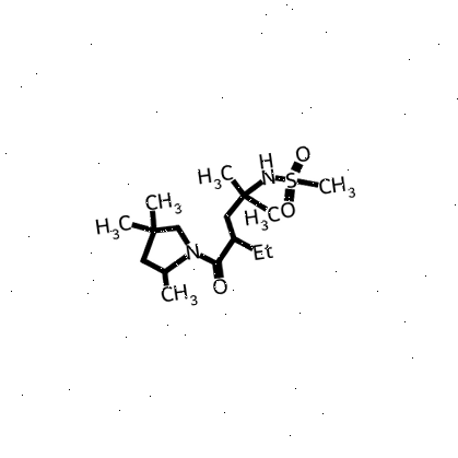 CCC(CC(C)(C)NS(C)(=O)=O)C(=O)N1CC(C)(C)CC1C